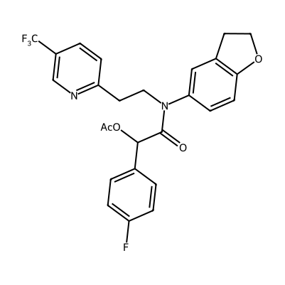 CC(=O)OC(C(=O)N(CCc1ccc(C(F)(F)F)cn1)c1ccc2c(c1)CCO2)c1ccc(F)cc1